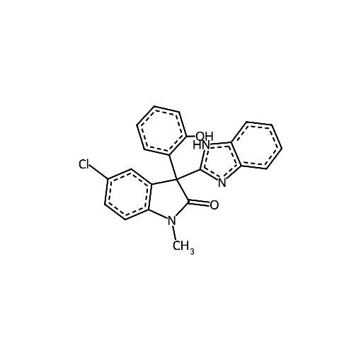 CN1C(=O)C(c2nc3ccccc3[nH]2)(c2ccccc2O)c2cc(Cl)ccc21